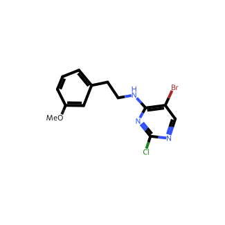 COc1cccc(CCNc2nc(Cl)ncc2Br)c1